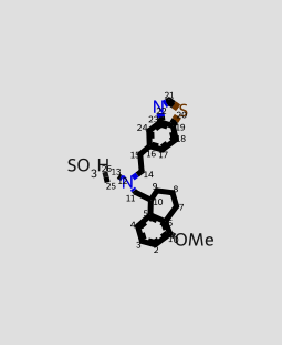 COc1cccc2c1CCCC2CN(C)CCc1ccc2scnc2c1.CS(=O)(=O)O